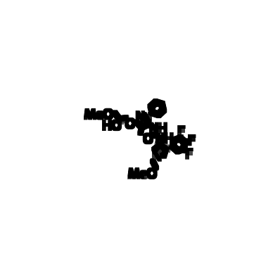 COCCN1C[C@@H](NC(=O)Nc2c(C)c(OC[C@@H](O)COC)nn2-c2ccccc2)[C@H](c2cc(F)c(F)c(F)c2)C1